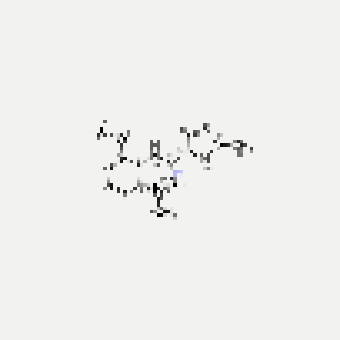 COc1cccc(OC)c1N/C(=N\N)c1ccn(C)n1